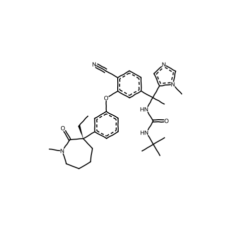 CC[C@@]1(c2cccc(Oc3cc(C(C)(NC(=O)NC(C)(C)C)c4cncn4C)ccc3C#N)c2)CCCCN(C)C1=O